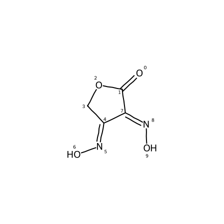 O=C1OCC(=N\O)/C1=N\O